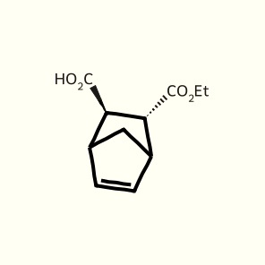 CCOC(=O)[C@@H]1C2C=CC(C2)[C@H]1C(=O)O